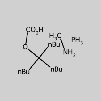 CCCCC(CCCC)(CCCC)OC(=O)O.CN.P